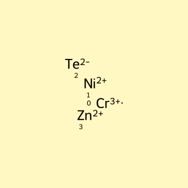 [Cr+3].[Ni+2].[Te-2].[Zn+2]